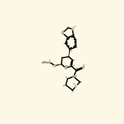 CCCCCO[C@H]1C[C@@H](c2ccc3c(c2)OCO3)C=C(C(=O)N2CCCCC2)O1